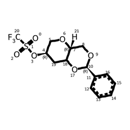 O=S(=O)(O[C@H]1CO[C@@H]2CO[C@@H](c3ccccc3)OC2C1)C(F)(F)F